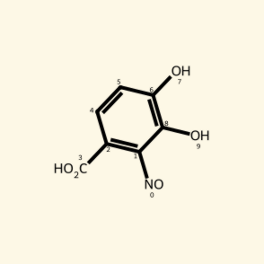 O=Nc1c(C(=O)O)ccc(O)c1O